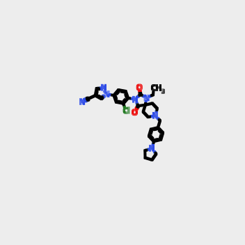 CCN1C(=O)N(c2ccc(-n3cc(C#N)cn3)cc2Cl)C(=O)C12CCN(Cc1ccc(N3CCCC3)cc1)CC2